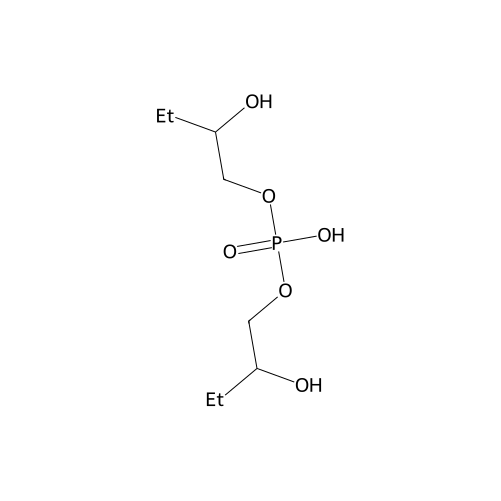 CCC(O)COP(=O)(O)OCC(O)CC